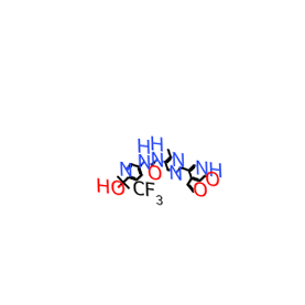 Cc1nc(-c2c[nH]c(=O)c3occc23)ncc1NC(=O)Nc1cnc(C(C)(C)O)c(C(F)(F)F)c1